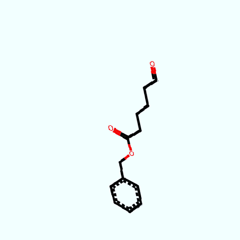 O=[C]CCCCC(=O)OCc1ccccc1